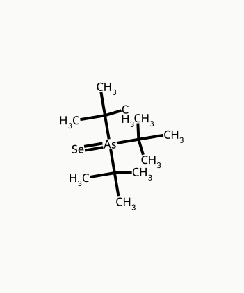 CC(C)(C)[As](=[Se])(C(C)(C)C)C(C)(C)C